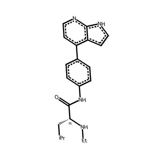 CCN[C@H](CC(C)C)C(=O)Nc1ccc(-c2ccnc3[nH]ccc23)cc1